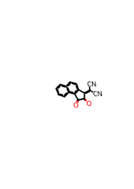 N#CC(C#N)=C1C(=O)C(=O)c2c1ccc1ccccc21